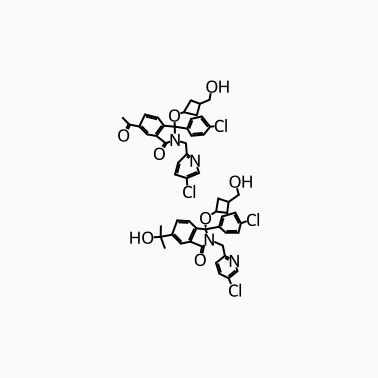 CC(=O)c1ccc2c(c1)C(=O)N(Cc1ccc(Cl)cn1)C2(OC1CC(CO)C1)c1ccc(Cl)cc1.CC(C)(O)c1ccc2c(c1)C(=O)N(Cc1ccc(Cl)cn1)[C@@]2(OC1CC(CO)C1)c1ccc(Cl)cc1